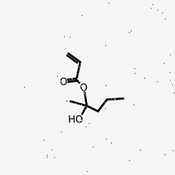 [CH2]C(O)(CCC)OC(=O)C=C